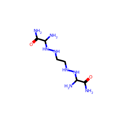 NC(=O)C(N)NNCCNNC(N)C(N)=O